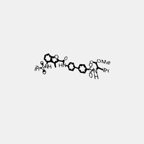 COC(=O)C(NS(=O)(=O)c1ccc(-c2ccc(NC(=O)c3oc4cccc(NS(=O)(=O)C(C)C)c4c3C)cc2)cc1)C(C)C